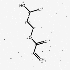 C=CC(=O)OCCC(O)Cl